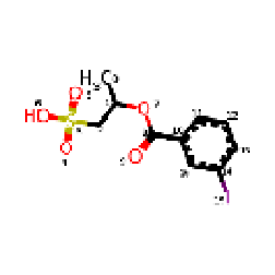 CC(CS(=O)(=O)O)OC(=O)c1cccc(I)c1